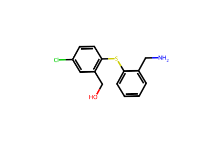 NCc1ccccc1Sc1ccc(Cl)cc1CO